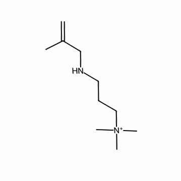 C=C(C)CNCCC[N+](C)(C)C